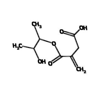 C=C(CC(=O)O)C(=O)OC(C)C(C)O